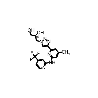 Cc1cc(Nc2cc(C(F)(F)F)ccn2)nc(-c2cn(C[C@H](O)CO)nn2)c1